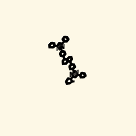 CC1C=CC=CC1c1cc(-c2ccccc2)nc(-c2ccc(-c3cccc4c(-c5ccc(-c6nc(-c7ccccc7)cc(-c7ccccc7)n6)cc5)cccc34)cc2)n1